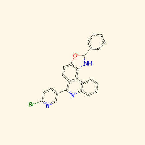 Brc1ccc(-c2nc3ccccc3c3c4c(ccc23)OC(c2ccccc2)N4)cn1